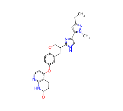 CCc1cc(-c2c[nH]c(C3COc4ccc(Oc5ccnc6c5CCC(=O)N6)cc4C3)n2)n(C)n1